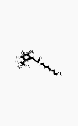 CCCCCCCOC(=O)CCc1cc(C(C)(C)C)c(O)c(C)c1C